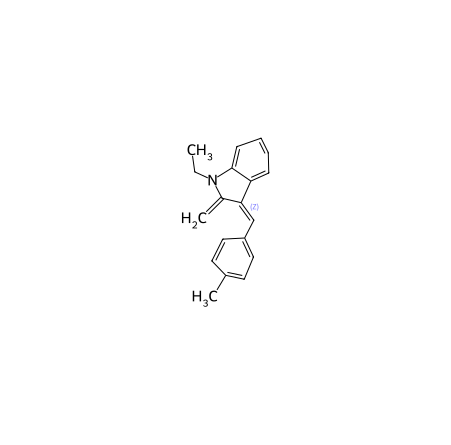 C=c1/c(=C\c2ccc(C)cc2)c2ccccc2n1CC